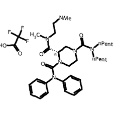 CCCCCN(CCCCC)C(=O)N1CCN(C(=O)N(c2ccccc2)c2ccccc2)[C@H](C(=O)N(C)CCNC)C1.O=C(O)C(F)(F)F